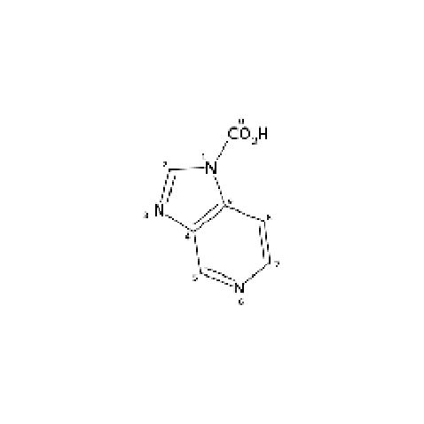 O=C(O)n1cnc2cnccc21